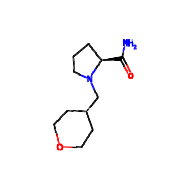 NC(=O)[C@@H]1CCCN1CC1CCOCC1